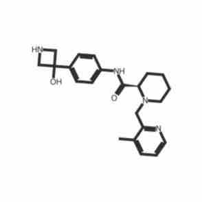 Cc1cccnc1CN1CCCC[C@@H]1C(=O)Nc1ccc(C2(O)CNC2)cc1